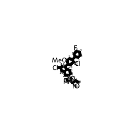 COc1cc(-c2cccc(F)c2)c(Cl)cc1-c1nc(Cl)cc2cc(S(=O)(=O)Nc3ccon3)ccc12